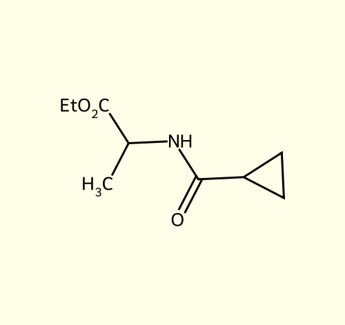 CCOC(=O)C(C)NC(=O)C1CC1